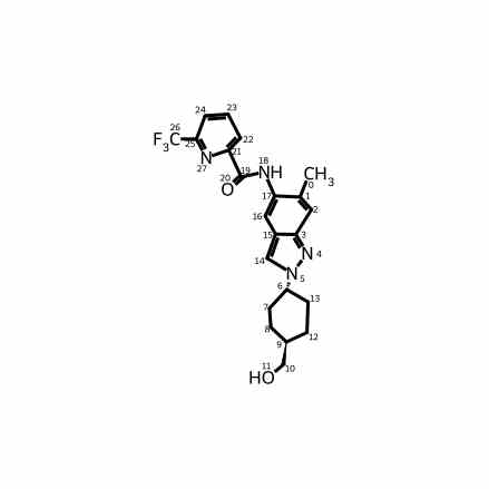 Cc1cc2nn([C@H]3CC[C@H](CO)CC3)cc2cc1NC(=O)c1cccc(C(F)(F)F)n1